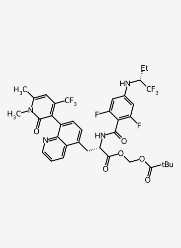 CC[C@@H](Nc1cc(F)c(C(=O)N[C@@H](Cc2ccc(-c3c(C(F)(F)F)cc(C)n(C)c3=O)c3ncccc23)C(=O)OCOC(=O)C(C)(C)C)c(F)c1)C(F)(F)F